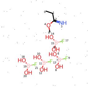 CCC(=N)OC.OB(O)F.OB(O)F.OB(O)F.OB(O)F